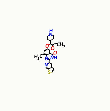 CCC(=O)C(Oc1cc(C)c2nc(-c3cc4ccsc4cn3)[nH]c(=O)c2c1)C1CCNCC1